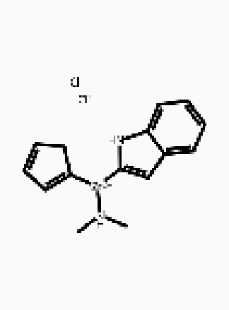 C[SiH](C)[Zr+2]([C]1=CC=CC1)[c]1cc2ccccc2[nH]1.[Cl-].[Cl-]